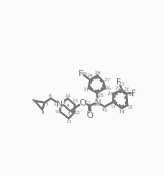 O=C(OC1C[N+]2(CC3CC3)CCC1CC2)N(Cc1ccc(F)c(F)c1)c1cccc(F)c1